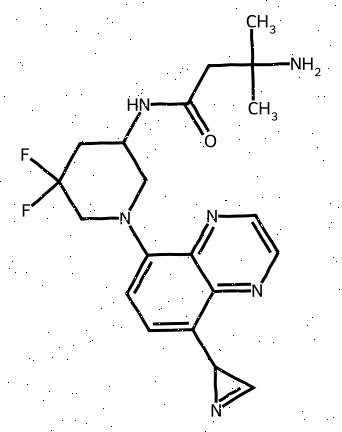 CC(C)(N)CC(=O)NC1CN(c2ccc(C3C=N3)c3nccnc23)CC(F)(F)C1